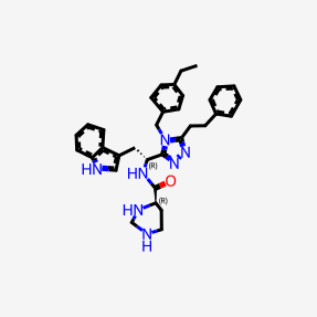 CCc1ccc(Cn2c(CCc3ccccc3)nnc2[C@@H](Cc2c[nH]c3ccccc23)NC(=O)[C@H]2CCNCN2)cc1